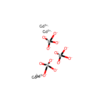 [Gd+3].[Gd+3].[Gd+3].[Gd+3].[O-][Si]([O-])([O-])[O-].[O-][Si]([O-])([O-])[O-].[O-][Si]([O-])([O-])[O-]